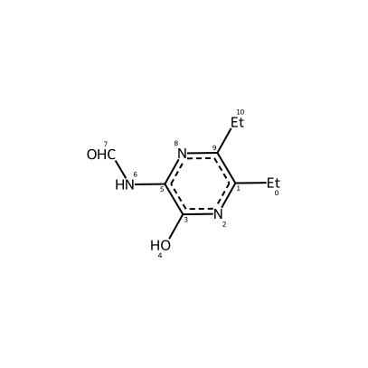 CCc1nc(O)c(NC=O)nc1CC